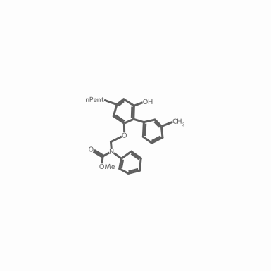 CCCCCc1cc(O)c(-c2cccc(C)c2)c(OCN(C(=O)OC)c2ccccc2)c1